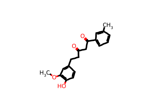 COc1cc(CCC(=O)CC(=O)c2cccc(C)c2)ccc1O